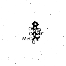 C=C1C[S+]([O-])[C@H]2C(N3C(=O)c4ccccc4C3=O)C(=O)N2C1C(=O)OC